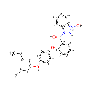 CCCCC(CCC)Oc1ccc(Oc2ccccc2C(=O)n2n[n+]([O-])c3ccccc32)cc1